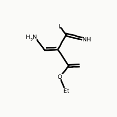 C=C(OCC)/C(=C/N)C(=N)I